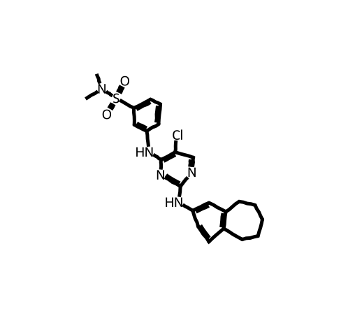 CN(C)S(=O)(=O)c1cccc(Nc2nc(Nc3ccc4c(c3)CCCCC4)ncc2Cl)c1